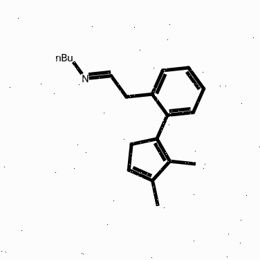 CCCCN=CCc1ccccc1C1=C(C)C(C)=CC1